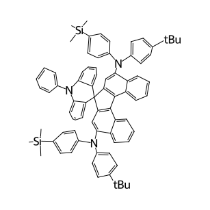 CC(C)(C)c1ccc(N(c2ccc([Si](C)(C)C)cc2)c2cc3c(c4ccccc24)-c2c(cc(N(c4ccc(C(C)(C)C)cc4)c4ccc([Si](C)(C)C)cc4)c4ccccc24)C32c3ccccc3N(c3ccccc3)c3ccccc32)cc1